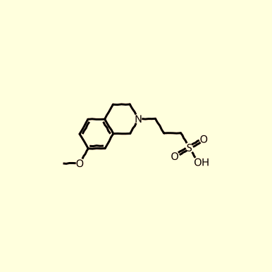 COc1ccc2c(c1)CN(CCCS(=O)(=O)O)CC2